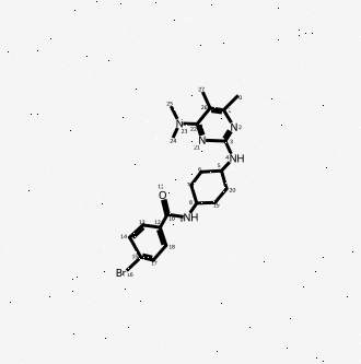 Cc1nc(NC2CCC(NC(=O)c3ccc(Br)cc3)CC2)nc(N(C)C)c1C